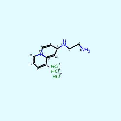 Cl.Cl.Cl.NCCNC1C=CN2C=CC=CC2=C1